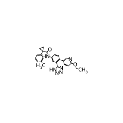 CCOc1ccc(-c2ccc(NC(=O)C3(c4cccc(C)c4)CC3)cc2-c2nnn[nH]2)cn1